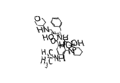 CC(C)Nc1cc(C(=O)N[C@@H](Cc2ccccc2)[C@H](O)CNC2CCOCC2)c(F)c(N2CCCCS2(O)O)c1